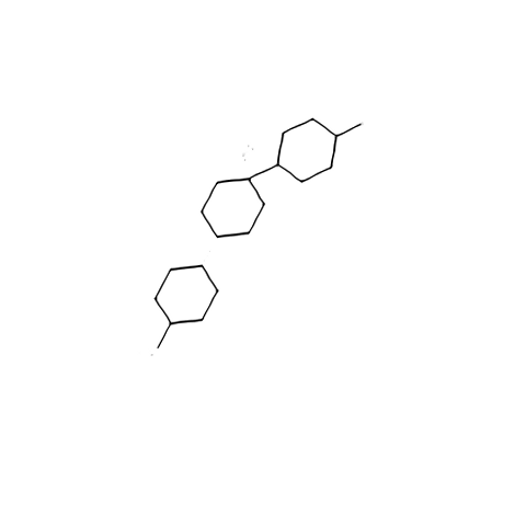 CCCCC1CCC([C@H]2CC[C@](C#N)(C3CCC(CCC)CC3)CC2)CC1